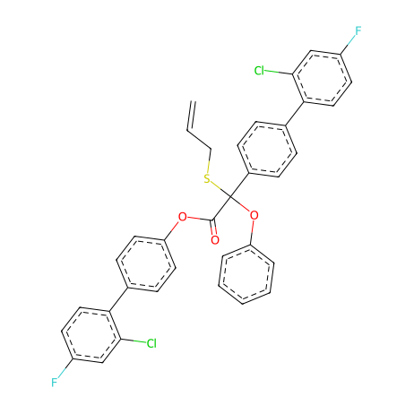 C=CCSC(Oc1ccccc1)(C(=O)Oc1ccc(-c2ccc(F)cc2Cl)cc1)c1ccc(-c2ccc(F)cc2Cl)cc1